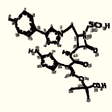 C[n+]1ccc(-c2cn(CC3[C@H](NC(=O)/C(=N\OC(C)(C)C(=O)O)c4csc(N)n4)C(=O)N3S(=O)(=O)O)nn2)cc1